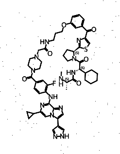 CN[C@@H](C)C(=O)N[C@H](C(=O)N1CCC[C@H]1c1nc(C(=O)c2cccc(OCCCNC(=O)CN3CCN(C(=O)c4ccc(Nc5nc(C6CC6)cn6c(-c7cn[nH]c7)cnc56)c(F)c4)CC3)c2)cs1)C1CCCCC1